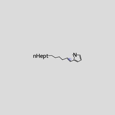 CCCCCCCCCCC/C=C/C1=CC=C[N]1